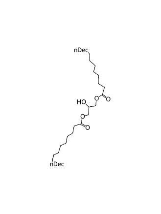 CCCCCCCCCCCCCCCCCC(=O)OCC(O)COC(=O)CCCCCCCCCCCCCCCCC